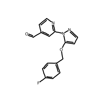 O=Cc1ccnc(-n2nccc2OCc2ccc(F)cc2)c1